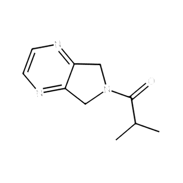 CC(C)C(=O)N1Cc2nccnc2C1